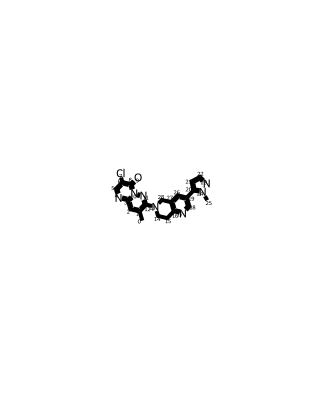 Cc1cc2ncc(Cl)c(=O)n2nc1N1CCc2ncc(-c3ccnn3C)cc2C1